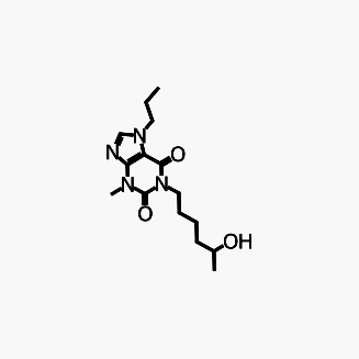 CCCn1cnc2c1c(=O)n(CCCCC(C)O)c(=O)n2C